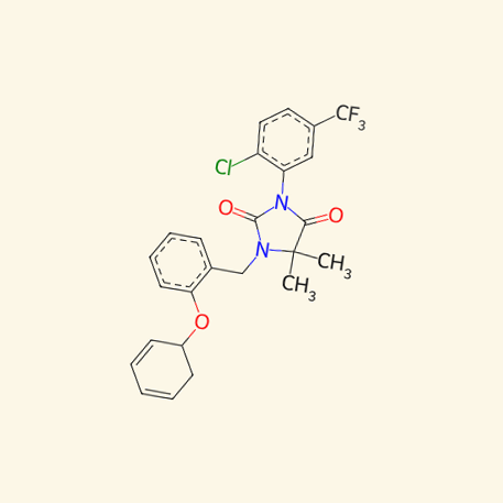 CC1(C)C(=O)N(c2cc(C(F)(F)F)ccc2Cl)C(=O)N1Cc1ccccc1OC1C=CC=CC1